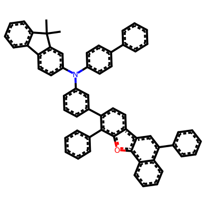 CC1(C)c2ccccc2-c2ccc(N(c3ccc(-c4ccccc4)cc3)c3cccc(-c4ccc5c(oc6c7ccccc7c(-c7ccccc7)cc56)c4-c4ccccc4)c3)cc21